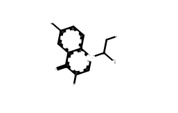 CCOC(=O)c1cn(C(CO)C(C)C)c2ccc(I)cc2c1=O